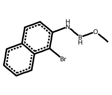 COBNc1ccc2ccccc2c1Br